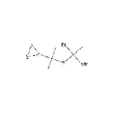 CCCC(C)(CC)SC(C)(C)C1CS1